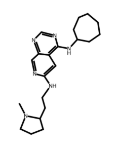 CN1CCCC1CCNc1cc2c(NC3CCCCCC3)ncnc2cn1